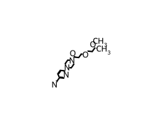 CO[C@H](C)CCOCCC(=O)N1CCN(c2ccc(C#N)cn2)CC1